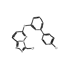 Clc1ccc(-c2cccc(Oc3ccc4nnc(Cl)n4n3)c2)cc1